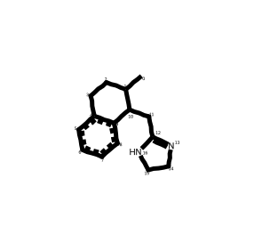 CC1CCc2ccccc2C1CC1=NCCN1